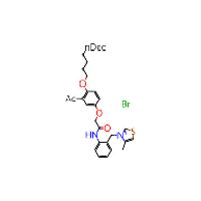 CCCCCCCCCCCCCCOc1ccc(OCC(=O)Nc2ccccc2C[n+]2cscc2C)cc1C(C)=O.[Br-]